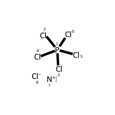 ClP(Cl)(Cl)(Cl)Cl.[Cl-].[N+]